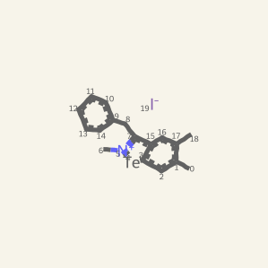 Cc1cc2[te][n+](C)c(Cc3ccccc3)c2cc1C.[I-]